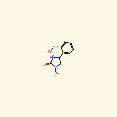 CC(C)(C)N1CC(c2ccccc2)NC1=O.O=CO